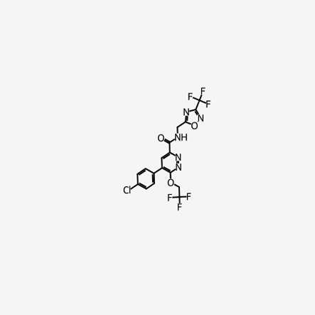 O=C(NCc1nc(C(F)(F)F)no1)c1cc(-c2ccc(Cl)cc2)c(OCC(F)(F)F)nn1